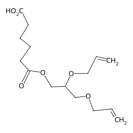 C=CCOCC(COC(=O)CCCCC(=O)O)OCC=C